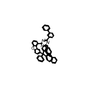 c1ccc(-c2ccc(-c3nc(-c4cccc(-c5ccccc5)c4)nc(-c4cccc5oc6ccc(C7(c8ccccc8)c8ccccc8-c8ccccc87)cc6c45)n3)cc2)cc1